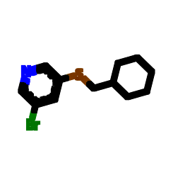 Brc1cncc(SCC2CCCCC2)c1